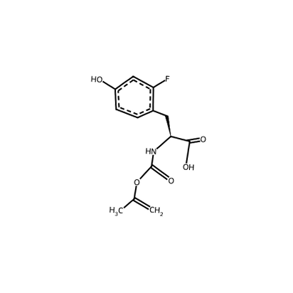 C=C(C)OC(=O)N[C@@H](Cc1ccc(O)cc1F)C(=O)O